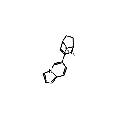 CN1C2C=C(c3ccc4cccn4c3)CC1CC2